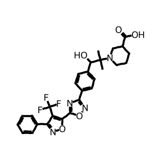 CC(C)(C(O)c1ccc(-c2noc(-c3onc(-c4ccccc4)c3C(F)(F)F)n2)cc1)N1CCCC(C(=O)O)C1